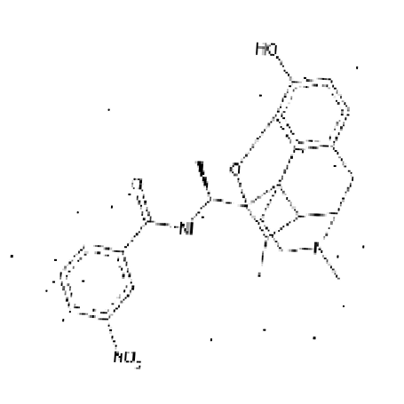 CC1C2C3Cc4ccc(O)c5c4C2(CCN3C)C1([C@H](C)NC(=O)c1cccc([N+](=O)[O-])c1)O5